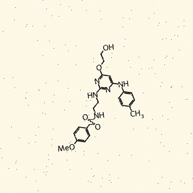 COc1ccc(S(=O)(=O)NCCNc2nc(Nc3ccc(C)cc3)cc(OCCO)n2)cc1